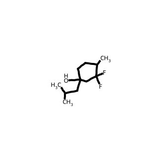 CC(C)CC1(O)CCC(C)C(F)(F)C1